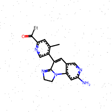 CCC(=O)c1cc(C)c(C2=Cc3cnc(N)cc3N3CCN=C23)cn1